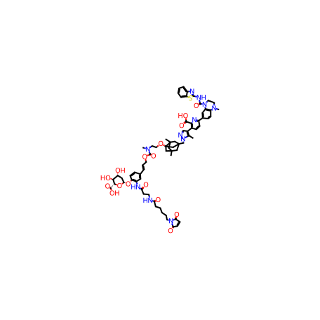 Cc1c(-c2ccc(-c3ccc4c(c3)N(C(=O)Nc3nc5ccccc5s3)CCN4C)nc2C(=O)O)cnn1CC12CC3(C)CC(C)(C1)C(OCCN(C)C(=O)OC/C=C/c1ccc(O[C@H]4C[C@@H](O)[C@H](O)[C@@H](C(=O)O)O4)c(NC(=O)CCNC(=O)CCCCCN4C(=O)C=CC4=O)c1)(C3)C2